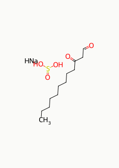 CCCCCCCCCC(=O)CC=O.O=S(O)O.[NaH]